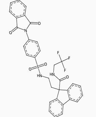 O=C1c2ccccc2C(=O)N1c1ccc(S(=O)(=O)NCCC2(C(=O)NCC(F)(F)F)c3ccccc3-c3ccccc32)cc1